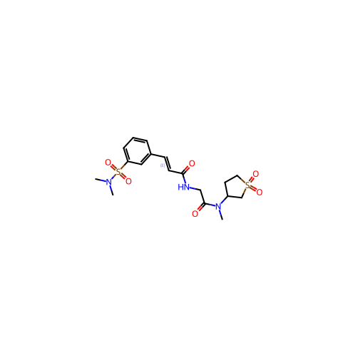 CN(C(=O)CNC(=O)/C=C/c1cccc(S(=O)(=O)N(C)C)c1)C1CCS(=O)(=O)C1